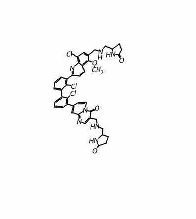 COc1c(CNCC2CCC(=O)N2)cc(Cl)c2nc(-c3cccc(-c4cccc(-c5ccn6c(=O)c(CNCC7CCC(=O)N7)cnc6c5)c4Cl)c3Cl)ccc12